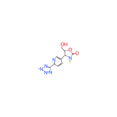 Cn1nnc(-c2ccc(C3C(CO)OC(=O)N3F)cn2)n1